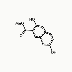 COC(=O)c1cc2cc(O)ccc2cc1O